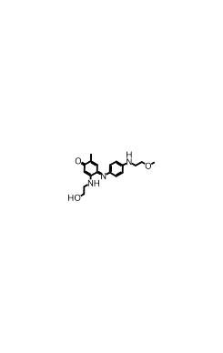 COCCNc1ccc(/N=C2\C=C(C)C(=O)C=C2NCCO)cc1